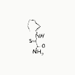 NC(=O)C(=S)NC1CCCCC1